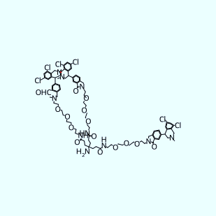 CN(CCOCCOCCOCCNC(=O)CCC(N)(CCC(=O)NCCOCCOCCOCCN1Cc2ccc(C3CN(C)Cc4c(Cl)cc(Cl)cc43)cc2C1=O)CCC(=O)NCCOCCOCCOCCN1Cc2ccc(C3CN(C)Cc4c(Cl)cc(Cl)cc43)cc2C1=O)Cc1ccc(C2CN(C)Cc3c(Cl)cc(Cl)cc32)cc1C=O